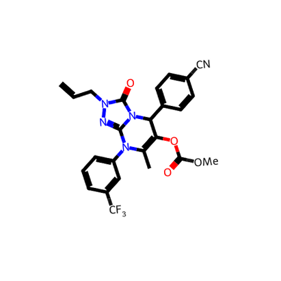 C=CCn1nc2n(c1=O)C(c1ccc(C#N)cc1)C(OC(=O)OC)=C(C)N2c1cccc(C(F)(F)F)c1